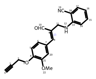 C#CCOc1ccc(/C=C(\C=O)CNc2ccccc2C#N)cc1OC